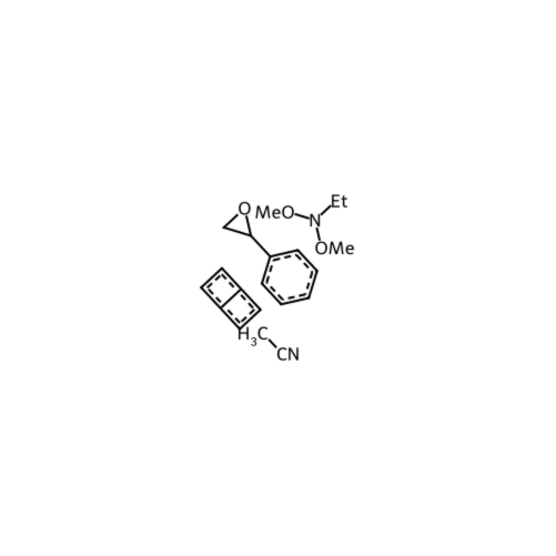 CC#N.CCN(OC)OC.c1cc2ccc1-2.c1ccc(C2CO2)cc1